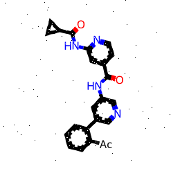 CC(=O)c1ccccc1-c1cncc(NC(=O)c2ccnc(NC(=O)C3CC3)c2)c1